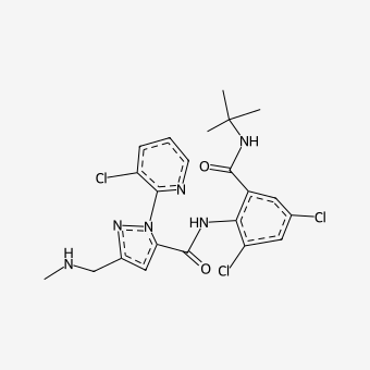 CNCc1cc(C(=O)Nc2c(Cl)cc(Cl)cc2C(=O)NC(C)(C)C)n(-c2ncccc2Cl)n1